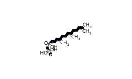 CC(C)=CCC/C(C)=C/CC/C(C)=C/C=C/P(=O)(O)CP(=O)(O)O